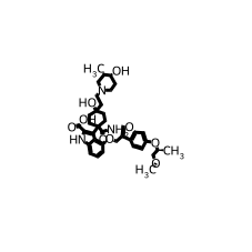 COC[C@H](C)Oc1ccc2c(COc3cccc4[nH]c(C(=O)O)c(C5(C(N)=O)CCC(O)(CCN6CC[C@H](O)[C@@H](C)C6)CC5)c34)coc2c1